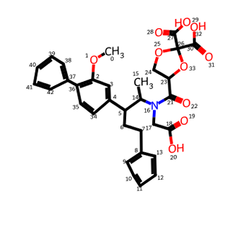 COc1cc(C(CCc2ccccc2)C(C)N(CC(=O)O)C(=O)C2COC(C(=O)O)(C(=O)O)O2)ccc1-c1ccccc1